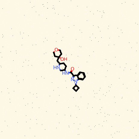 O=C(NC1CCC(CC2(O)CCOCC2)NC1)c1nn(C2CCC2)c2ccccc12